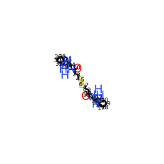 O=C(CCCSSCCCC(=O)NCc1nc2ccccc2[nH]1)NCc1nc2ccccc2[nH]1